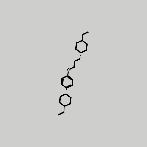 CC[C@H]1CC[C@H](CCCOc2ccc([C@H]3CC[C@H](CC)CC3)cc2)CC1